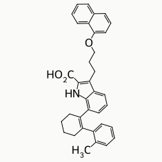 Cc1ccccc1C1=C(c2cccc3c(CCCOc4cccc5ccccc45)c(C(=O)O)[nH]c23)CCCC1